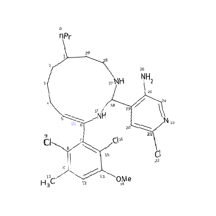 CCCC1CCC/C=C(/c2c(Cl)c(C)cc(OC)c2Cl)NC(c2cc(Cl)ncc2N)NCC1